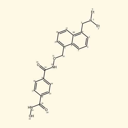 CCN(CC)Cc1cccc2c(CONC(=O)c3ccc(C(=O)NO)cc3)cccc12